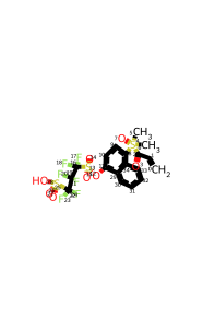 C=CC(=O)S(C)(C)(=O)c1ccc(OS(=O)(=O)C(F)(F)C(F)(F)C(F)(F)S(=O)(=O)O)c2ccccc12